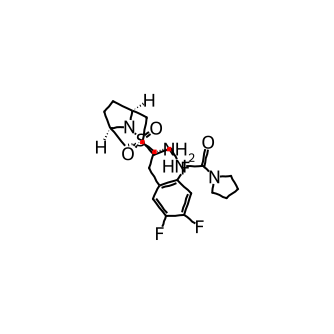 N[C@H](Cc1cc(F)c(F)cc1F)[C@@H]1C[C@H]2CC[C@@H](C1)N2S(=O)(=O)CCNC(=O)N1CCCC1